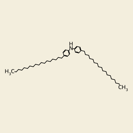 CCCCCCCCCCCCCCCCCCc1ccc(Nc2ccc(CCCCCCCCCCCCCCCCCC)cc2)cc1